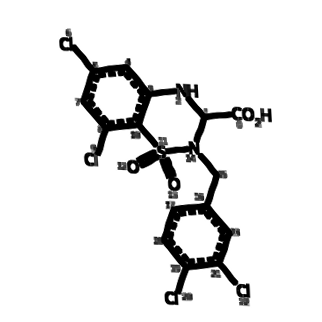 O=C(O)C1Nc2cc(Cl)cc(Cl)c2S(=O)(=O)N1Cc1ccc(Cl)c(Cl)c1